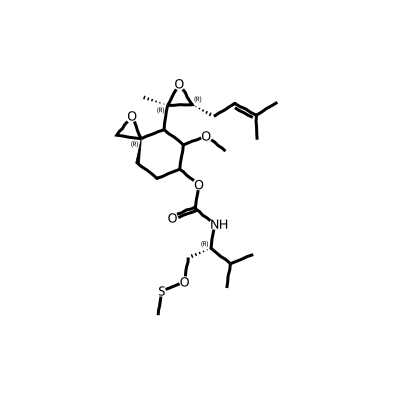 COC1C(OC(=O)N[C@@H](COSC)C(C)C)CC[C@]2(CO2)C1[C@@]1(C)O[C@@H]1CC=C(C)C